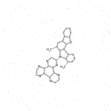 Cc1cccc2c3c4oc5ccccc5c4cc(C)c3n(-c3cnc4c5nccnc5c5nccnc5c4n3)c12